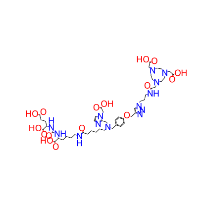 O=C(O)CCC(NC(=O)NC(CCCCNC(=O)CCCCCN(Cc1ccc(OCc2cn(CCCNC(=O)CN3CCN(CC(=O)O)CCN(CC(=O)O)CC3)nn2)cc1)Cc1nccn1CC(=O)O)C(=O)O)C(=O)O